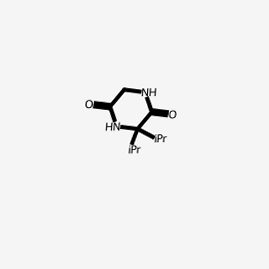 CC(C)C1(C(C)C)NC(=O)CNC1=O